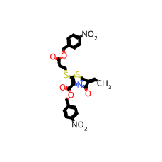 CC=C1C(=O)N2C(C(=O)OCc3ccc([N+](=O)[O-])cc3)=C(SCCC(=O)OCc3ccc([N+](=O)[O-])cc3)SC12